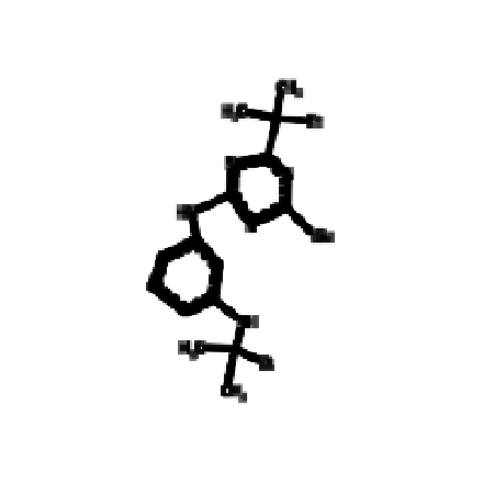 CCC(C)(C)Nc1cccc(Nc2nc(C(C)(C)C)nc(C(C)(C)CC)n2)c1